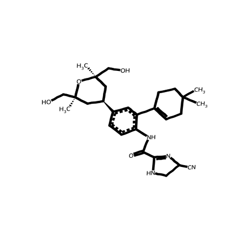 CC1(C)CC=C(c2cc([C@@H]3C[C@](C)(CO)O[C@](C)(CO)C3)ccc2NC(=O)C2=NC(C#N)CN2)CC1